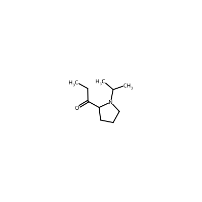 CCC(=O)C1CCCN1C(C)C